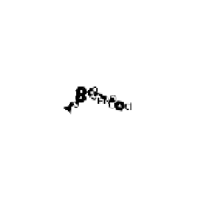 O=C(NCCC[C@H]1OC[C@H](c2cccc3cc(OCC4CC4)ccc32)CO1)Oc1ccc(Cl)cc1